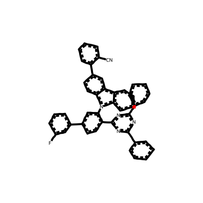 N#Cc1ccccc1-c1ccc2c(c1)c1ccccc1n2-c1cc(-c2cccc(F)c2)ccc1-c1nc(-c2ccccc2)nc(-c2ccccc2)n1